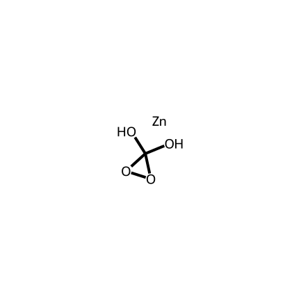 OC1(O)OO1.[Zn]